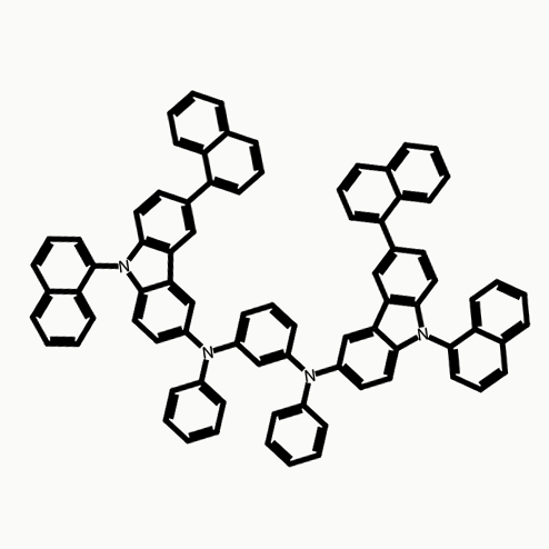 c1ccc(N(c2cccc(N(c3ccccc3)c3ccc4c(c3)c3cc(-c5cccc6ccccc56)ccc3n4-c3cccc4ccccc34)c2)c2ccc3c(c2)c2cc(-c4cccc5ccccc45)ccc2n3-c2cccc3ccccc23)cc1